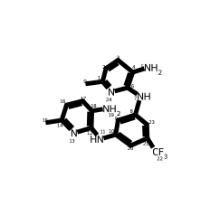 Cc1ccc(N)c(Nc2cc(Nc3nc(C)ccc3N)cc(C(F)(F)F)c2)n1